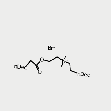 CCCCCCCCCCCC[N+](C)(C)CCOC(=O)CCCCCCCCCCC.[Br-]